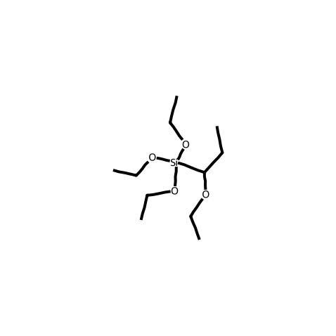 CCOC(CC)[Si](OCC)(OCC)OCC